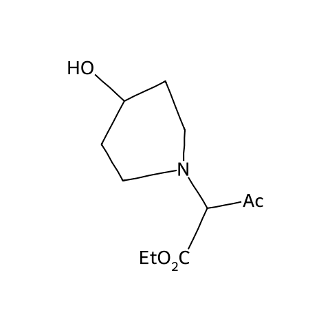 CCOC(=O)C(C(C)=O)N1CCC(O)CC1